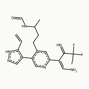 C=Cc1[nH]ncc1-c1cnc(/C(=C/N)C(=N)C(F)(F)F)cc1CCC(C)NC=O